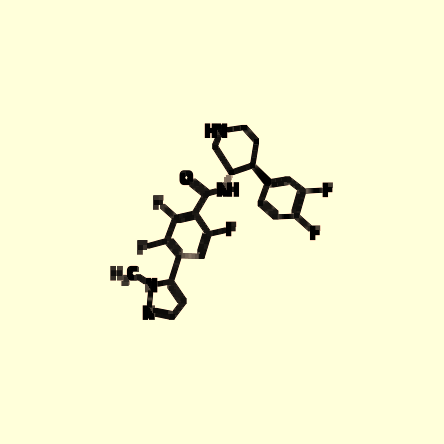 Cn1nccc1-c1cc(F)c(C(=O)N[C@@H]2CNCC[C@H]2c2ccc(F)c(F)c2)c(F)c1F